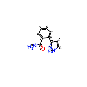 NC(=O)c1ccccc1-c1cc[nH]n1